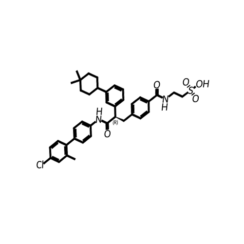 Cc1cc(Cl)ccc1-c1ccc(NC(=O)[C@H](Cc2ccc(C(=O)NCCS(=O)(=O)O)cc2)c2cccc(C3CCC(C)(C)CC3)c2)cc1